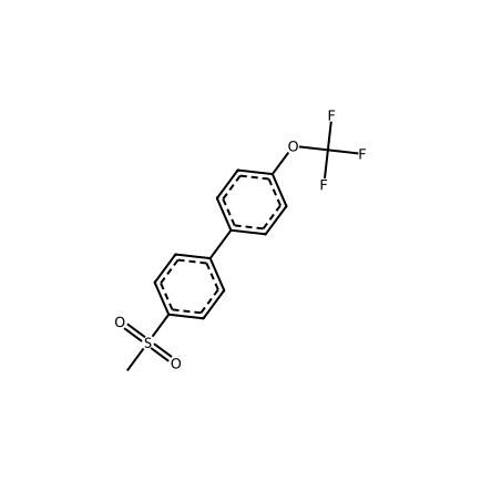 CS(=O)(=O)c1ccc(-c2ccc(OC(F)(F)F)cc2)cc1